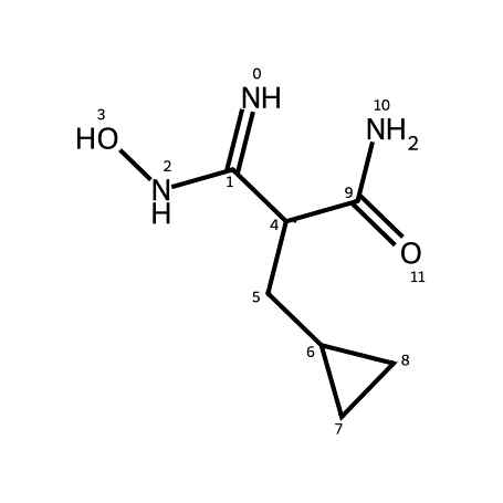 N=C(NO)[C](CC1CC1)C(N)=O